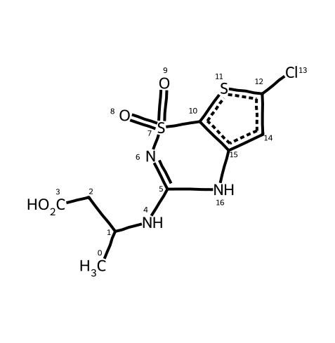 CC(CC(=O)O)NC1=NS(=O)(=O)c2sc(Cl)cc2N1